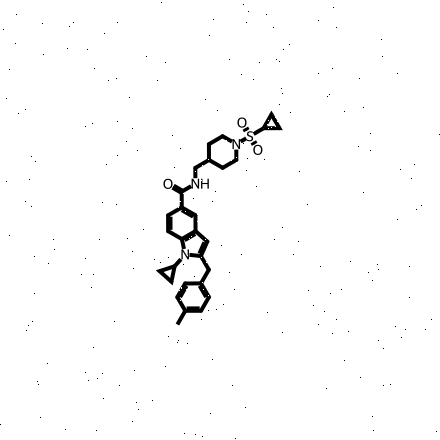 Cc1ccc(Cc2cc3cc(C(=O)NCC4CCN(S(=O)(=O)C5CC5)CC4)ccc3n2C2CC2)cc1